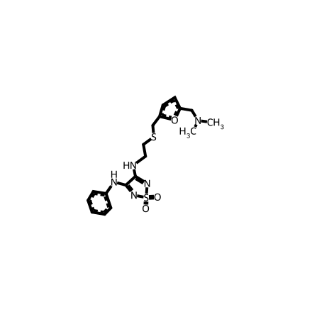 CN(C)Cc1ccc(CSCCNC2=NS(=O)(=O)N=C2Nc2ccccc2)o1